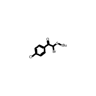 CC(C)(C)SC(Br)C(=O)c1ccc(Cl)cc1